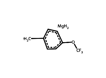 [CH2]c1ccc(OC(F)(F)F)cc1.[MgH2]